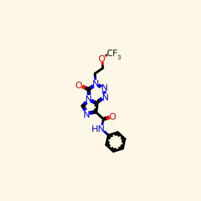 O=C(Nc1ccccc1)c1ncn2c(=O)n(CCOC(F)(F)F)nnc12